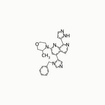 CC1COCCN1c1cc(-c2cncn2Cc2ccccc2)c2ccnc(-c3ccn[nH]3)c2n1